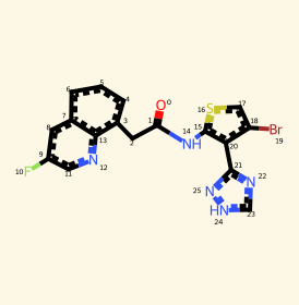 O=C(Cc1cccc2cc(F)cnc12)Nc1scc(Br)c1-c1nc[nH]n1